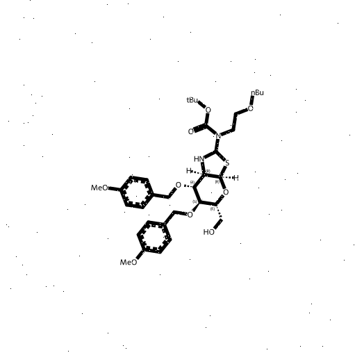 CCCCOCCN(C(=O)OC(C)(C)C)C1N[C@@H]2[C@@H](OCc3ccc(OC)cc3)[C@H](OCc3ccc(OC)cc3)[C@@H](CO)O[C@@H]2S1